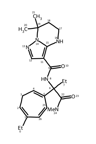 CCC1=CCC=C(C(CC)(NC(=O)c2cnn3c2NCCC3(C)C)C(=O)NC)C=C1